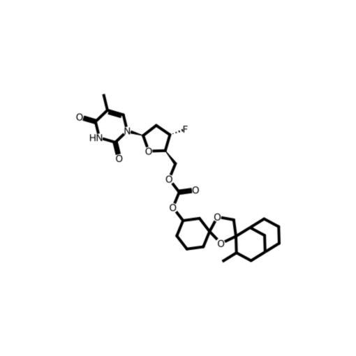 Cc1cn([C@H]2C[C@H](F)[C@@H](COC(=O)OC3CCCC4(C3)OCC3(O4)C(C)CC4CCCC3C4)O2)c(=O)[nH]c1=O